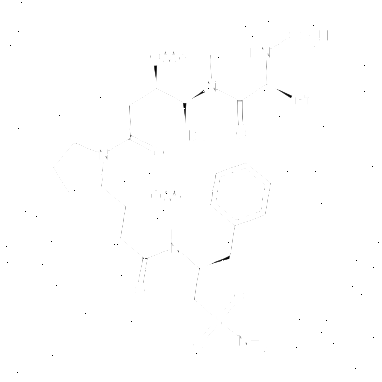 CC[C@H](C)[C@@H]([C@@H](CC(=O)N1CCC[C@H]1[C@H](OC)[C@@H](C)C(=O)N[C@@H](Cc1ccccc1)CS(N)(=O)=O)OC)N(C)C(=O)[C@@H](NC(=O)O)C(C)C